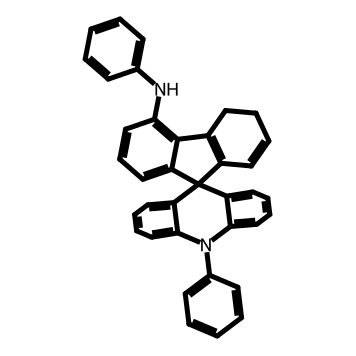 C1=CC2=C(CC1)c1c(Nc3ccccc3)cccc1C21c2ccccc2N(c2ccccc2)c2ccccc21